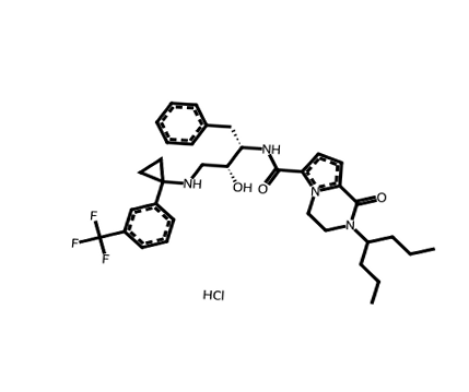 CCCC(CCC)N1CCn2c(C(=O)N[C@@H](Cc3ccccc3)[C@H](O)CNC3(c4cccc(C(F)(F)F)c4)CC3)ccc2C1=O.Cl